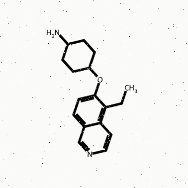 CCc1c(OC2CCC(N)CC2)ccc2cnccc12